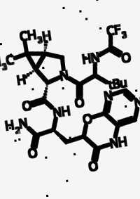 CC(C)(C)C(NC(=O)C(F)(F)F)C(=O)N1C[C@H]2[C@@H]([C@H]1C(=O)N[C@@H](CC1Oc3ncncc3NC1=O)C(N)=O)C2(C)C